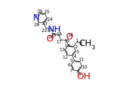 CCc1cc(-c2ccc(O)cc2)ccc1C(=O)CCC(=O)NCc1cccnc1